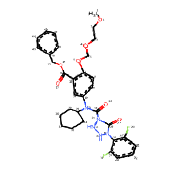 COCCOCOc1ccc(N(C(=O)N2NNN(c3c(F)cccc3F)C2=O)C2CCCCC2)cc1C(=O)OCc1ccccc1